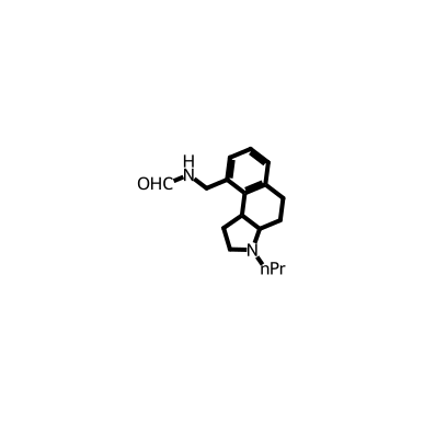 CCCN1CCC2c3c(cccc3CNC=O)CCC21